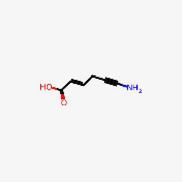 NC#CCC=CC(=O)O